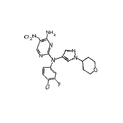 Nc1nc(N(c2ccc(Cl)c(F)c2)c2cnn(C3CCOCC3)c2)ncc1[N+](=O)[O-]